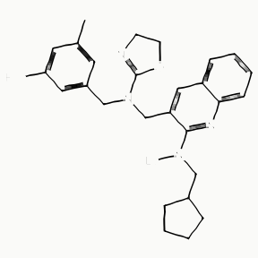 CCN(CC1CCCC1)c1nc2ccccc2cc1CN(Cc1cc(C)cc(C(F)(F)F)c1)C1=NCCO1